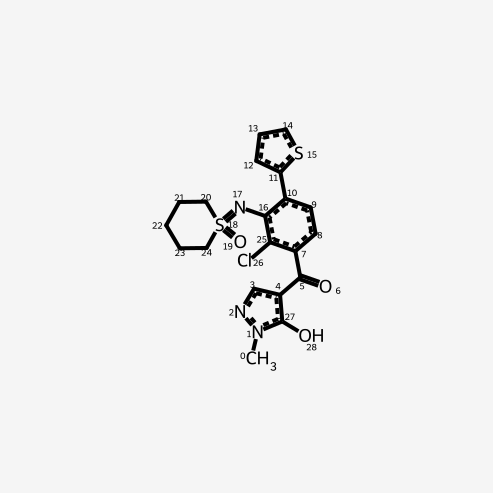 Cn1ncc(C(=O)c2ccc(-c3cccs3)c(N=S3(=O)CCCCC3)c2Cl)c1O